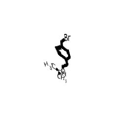 C[SiH](C)OCCc1ccc(CBr)cc1